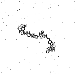 COc1nc(-c2ccc3cn([C@H]4CC[C@H](CNC(=O)c5cc(F)c(O)c(F)c5F)CC4)nc3c2)nc2c1CN(CCCc1ccc3c(c1)n(C)c(=O)n3C1CCC(=O)NC1=O)C2